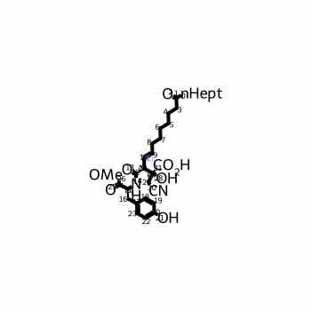 CCCCCCCC(=O)CCCCCC/C=C/[C@H](C(=O)N[C@@H](Cc1ccc(O)cc1)C(=O)OC)[C@@](O)(CC#N)C(=O)O